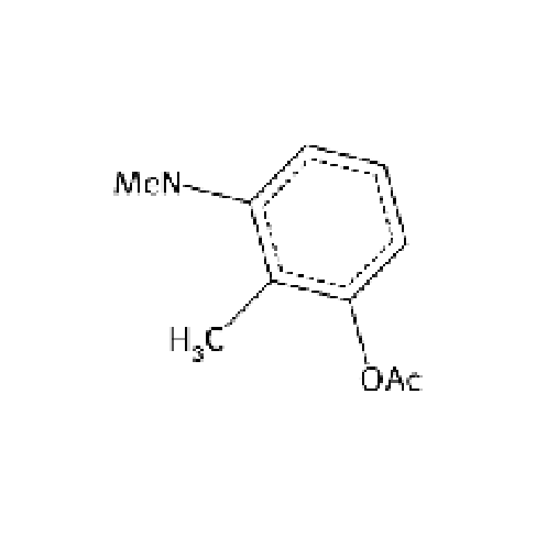 CNc1cccc(OC(C)=O)c1C